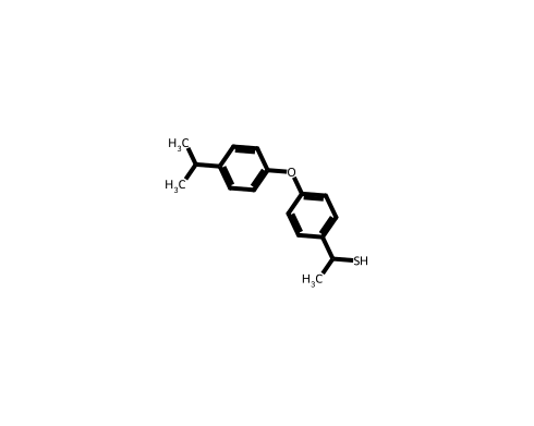 CC(C)c1ccc(Oc2ccc(C(C)S)cc2)cc1